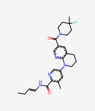 CC/C=C/NC(=O)c1ncc(N2CCCc3cc(C(=O)N4CCC(C)(F)CC4)cnc32)cc1C